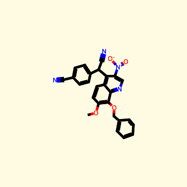 COc1ccc2c(C(C#N)c3ccc(C#N)cc3)c([N+](=O)[O-])cnc2c1OCc1ccccc1